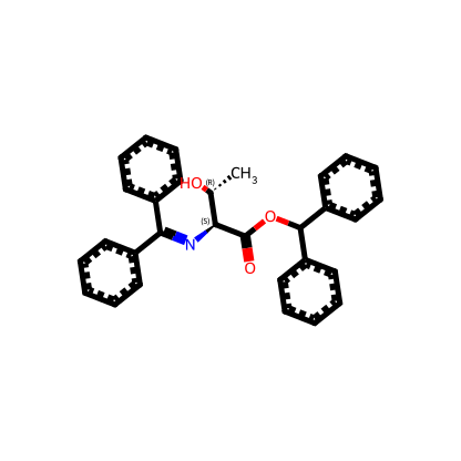 C[C@@H](O)[C@H](N=C(c1ccccc1)c1ccccc1)C(=O)OC(c1ccccc1)c1ccccc1